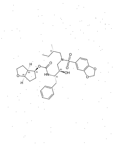 CC[C@H](C)CN(C[C@@H](O)[C@H](Cc1ccccc1)NC(=O)O[C@H]1CC[C@H]2OCC[C@@H]12)S(=O)(=O)c1ccc2c(c1)OCO2